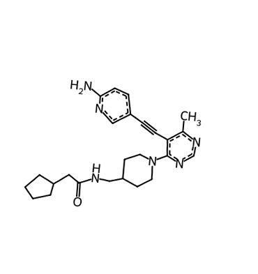 Cc1ncnc(N2CCC(CNC(=O)CC3CCCC3)CC2)c1C#Cc1ccc(N)nc1